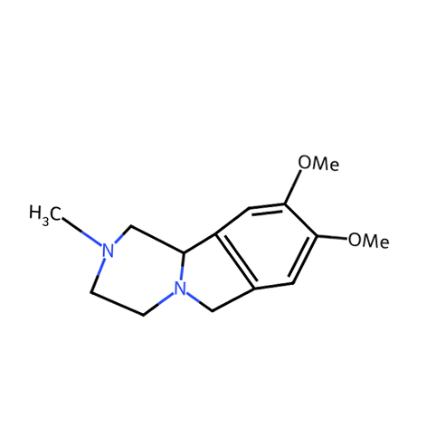 COc1cc2c(cc1OC)C1CN(C)CCN1C2